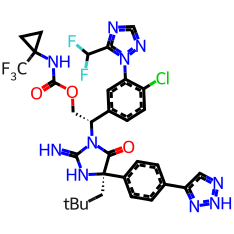 CC(C)(C)C[C@]1(c2ccc(-c3cn[nH]n3)cc2)NC(=N)N([C@H](COC(=O)NC2(C(F)(F)F)CC2)c2ccc(Cl)c(-n3ncnc3C(F)F)c2)C1=O